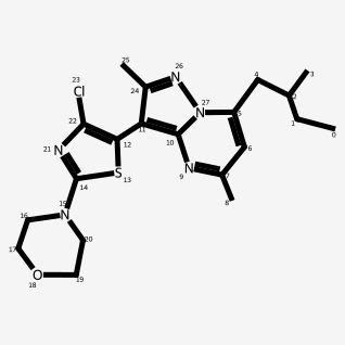 CCC(C)Cc1cc(C)nc2c(-c3sc(N4CCOCC4)nc3Cl)c(C)nn12